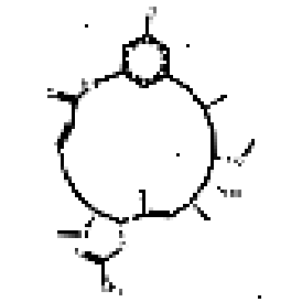 CO[C@H]1C[C@H](C)Cc2cc(O)cc(c2)NC(=O)/C=C/CC[C@H](OC)[C@@H](OC(N)=O)/C(C)=C/[C@H](C)[C@H]1O